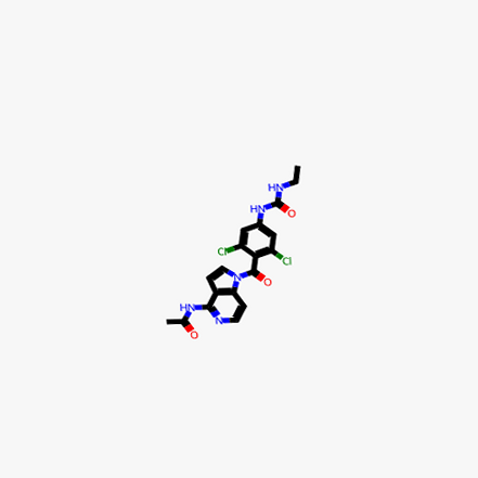 CCNC(=O)Nc1cc(Cl)c(C(=O)n2ccc3c(NC(C)=O)nccc32)c(Cl)c1